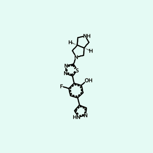 Oc1cc(-c2cn[nH]c2)cc(F)c1-c1nnc(N2C[C@H]3CNC[C@H]3C2)s1